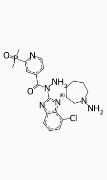 CP(C)(=O)c1cc(C(=O)N(N)c2nc3cccc(Cl)c3n2[C@@H]2CCCCN(N)C2)ccn1